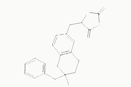 CC1(Cc2ccccc2)CCc2cc(CC3SC(=O)NC3=O)ccc2C1